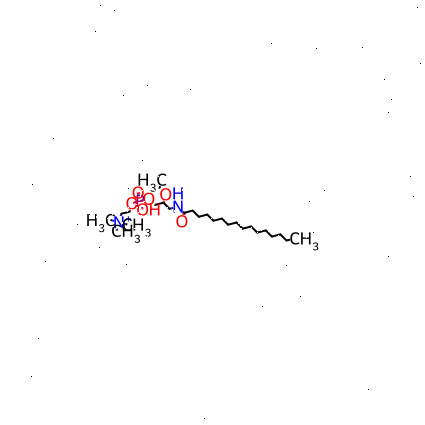 CCCCCCCCCCCCCCCC(=O)NCC(COP(=O)(O)OCC[N+](C)(C)C)OCC